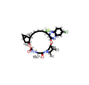 CC[C@@H]1[C@@H]2CN(C(=O)[C@H](C(C)(C)C)NC(=O)O[C@@H]3CC4CC4[C@H]3CCCCC(F)(F)c3nc4ccc(Cl)cc4nc3O2)[C@@H]1C(C)=O